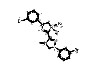 CN1CN(c2cccc(Br)c2)N=C1C1=NN(c2cccc(Br)c2)C[N+]1(C)Br.[Br-]